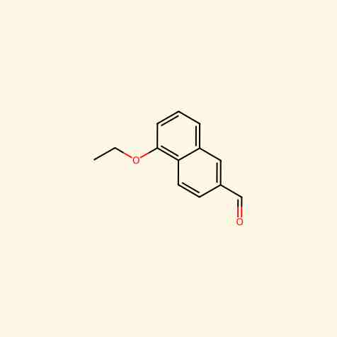 CCOc1cccc2cc(C=O)ccc12